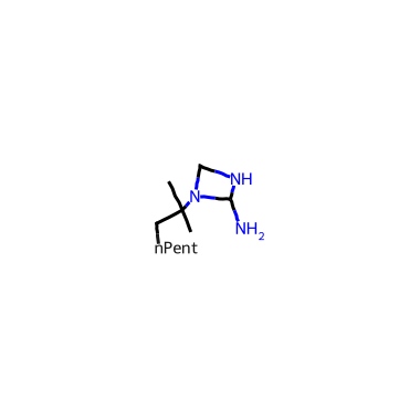 CCCCCCC(C)(C)N1CNC1N